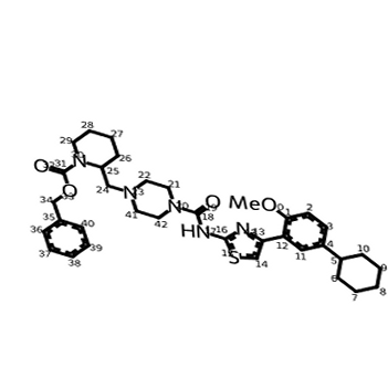 COc1ccc(C2CCCCC2)cc1-c1csc(NC(=O)N2CCN(CC3CCCCN3C(=O)OCc3ccccc3)CC2)n1